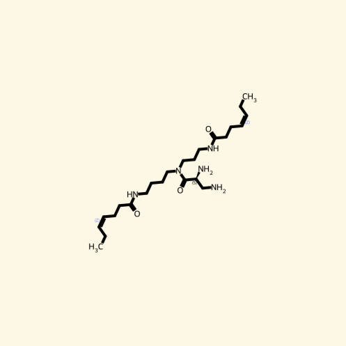 CC/C=C\CCC(=O)NCCCCN(CCCNC(=O)CC/C=C\CC)C(=O)[C@@H](N)CN